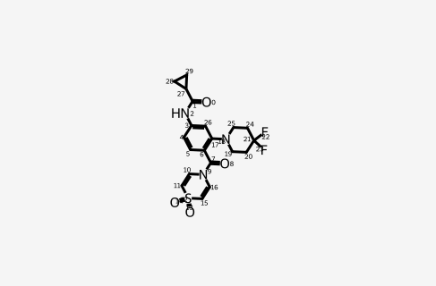 O=C(Nc1ccc(C(=O)N2C=CS(=O)(=O)C=C2)c(N2CCC(F)(F)CC2)c1)C1CC1